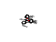 Cl.Cl.[CH2]=[Zr]([CH2]C)([C]1=C(CC)C(C(C)(C)C)=CC1C)([c]1ccccc1)[c]1cc(C(C)(C)C)cc2c1Cc1ccc(C(C)(C)C)cc1-2